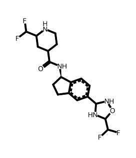 O=C(N[C@@H]1CCc2cc(C3NOC(C(F)F)N3)ccc21)C1CCNC(C(F)F)C1